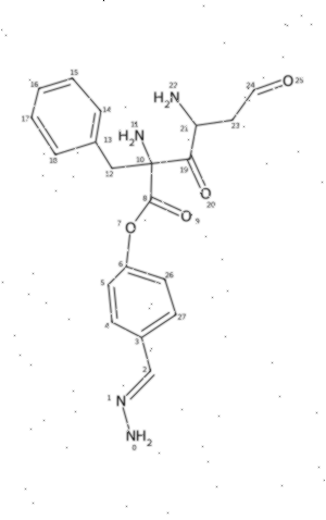 NN=Cc1ccc(OC(=O)C(N)(Cc2ccccc2)C(=O)C(N)CC=O)cc1